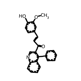 COc1cc(C=CC(=O)c2cnc3ccccc3c2-c2ccccc2)ccc1O